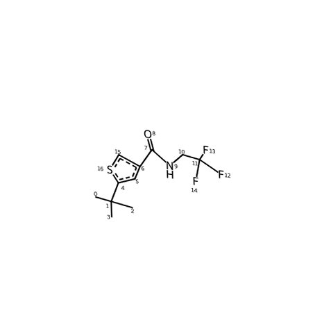 CC(C)(C)c1cc(C(=O)NCC(F)(F)F)cs1